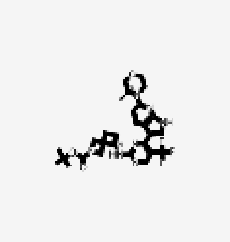 C[C@H]1COCCN1c1ccc2c(-c3nc(N[C@@H]4CCC45CN(C(=O)OC(C)(C)C)C5)ncc3C(F)(F)F)c[nH]c2n1